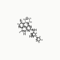 C[C@H](Nc1nc(Nc2cc(-c3cccs3)[nH]n2)nc(N2CCOCC2)n1)c1ncc(F)cn1